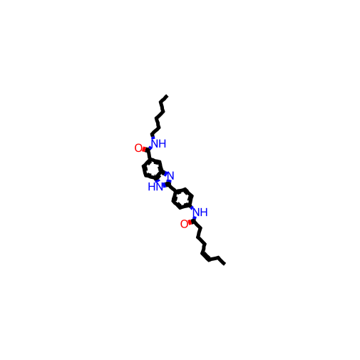 CC/C=C\CCCC(=O)Nc1ccc(-c2nc3cc(C(=O)NCCCCCC)ccc3[nH]2)cc1